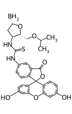 B[C@H]1CC(NC(=S)Nc2ccc3c(c2)C(=O)OC32c3ccc(O)cc3Oc3cc(O)ccc32)[C@@H](COC(C)C)O1